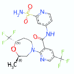 C[C@@H]1CN(c2ncc(C(F)(F)F)cc2C(=O)Nc2ccnc(S(N)(=O)=O)c2)CC[C@@H](C(F)(F)F)O1